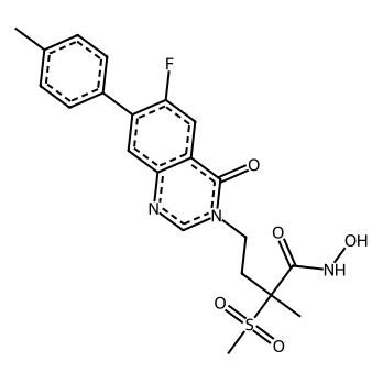 Cc1ccc(-c2cc3ncn(CCC(C)(C(=O)NO)S(C)(=O)=O)c(=O)c3cc2F)cc1